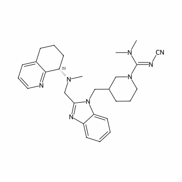 CN(C)C(=NC#N)N1CCCC(Cn2c(CN(C)[C@H]3CCCc4cccnc43)nc3ccccc32)C1